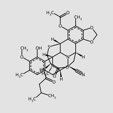 COc1c(C)cc2c(c1O)[C@@H]1C3[C@@H]4SC[C@H](NC(=O)CC(C)C)C(=O)OC[C@@H](c5c6c(c(C)c(OC(C)=O)c54)OCO6)N3[C@@H](C#N)[C@H](C2)N1C